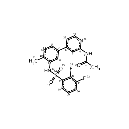 CC(=O)Nc1cc(-c2cnc(C)c(NS(=O)(=O)c3cccc(F)c3F)c2)ccn1